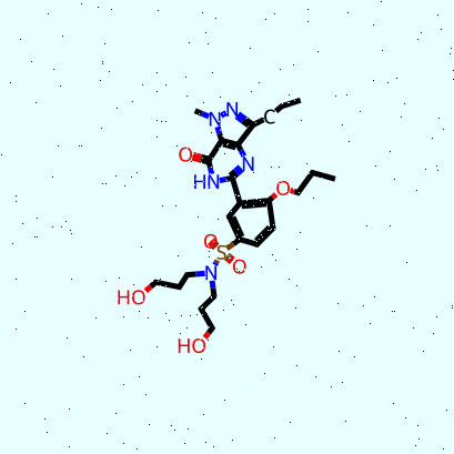 CCCOc1ccc(S(=O)(=O)N(CCCO)CCCO)cc1-c1nc2c(CCC)nn(C)c2c(=O)[nH]1